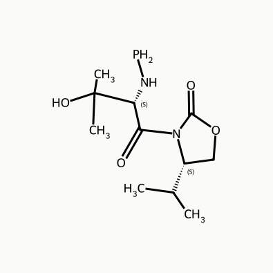 CC(C)[C@H]1COC(=O)N1C(=O)[C@@H](NP)C(C)(C)O